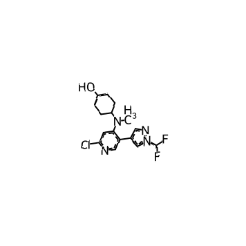 CN(c1cc(Cl)ncc1-c1cnn(C(F)F)c1)C1CCC(O)CC1